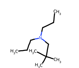 CCCN(CCC)CC(C)(C)C